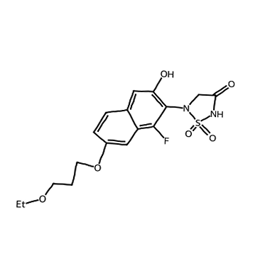 CCOCCCOc1ccc2cc(O)c(N3CC(=O)NS3(=O)=O)c(F)c2c1